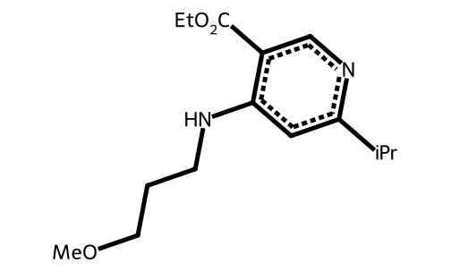 CCOC(=O)c1cnc(C(C)C)cc1NCCCOC